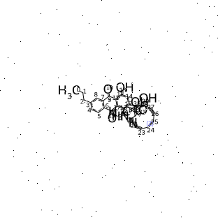 CCCc1ccc2c(c1)C(=O)c1c(O)cc3c(c1C2=O)N[C@H]1C#C/C=C\C#C[C@@H](O)[C@@]32O[C@@]12[C@@H](C)O